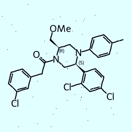 COC[C@H]1CN(c2ccc(C)cc2)[C@@H](c2ccc(Cl)cc2Cl)CN1C(=O)Cc1cccc(Cl)c1